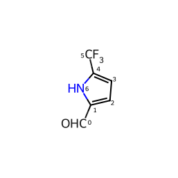 O=Cc1ccc(C(F)(F)F)[nH]1